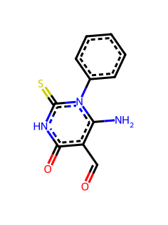 Nc1c(C=O)c(=O)[nH]c(=S)n1-c1ccccc1